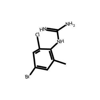 Cc1cc(Br)cc(Cl)c1NC(=N)N